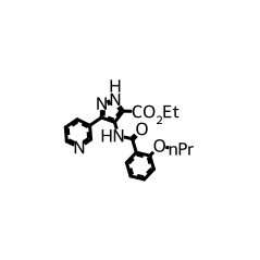 CCCOc1ccccc1C(=O)Nc1c(-c2cccnc2)n[nH]c1C(=O)OCC